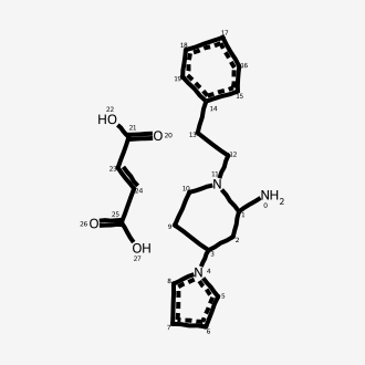 NC1CC(n2cccc2)CCN1CCc1ccccc1.O=C(O)C=CC(=O)O